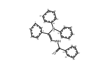 O=C(NC=C(c1ccccc1)N(c1ccccc1)c1ccccc1)c1ccccc1